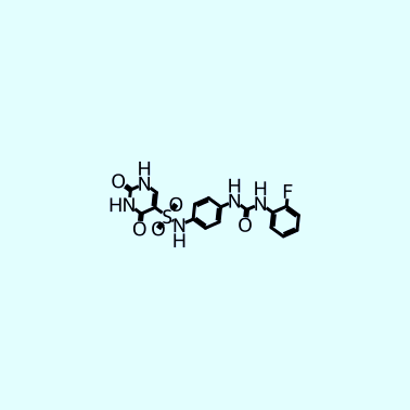 O=C(Nc1ccc(NS(=O)(=O)c2c[nH]c(=O)[nH]c2=O)cc1)Nc1ccccc1F